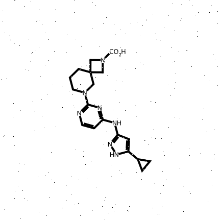 O=C(O)N1CC2(CCCN(c3nccc(Nc4cc(C5CC5)[nH]n4)n3)C2)C1